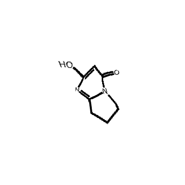 O=c1cc(O)nc2n1CCC2